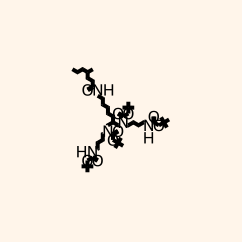 CCCC(C)CCC(=O)NCCCCCCC(CN(CCCCNC(=O)OC(C)(C)C)C(=O)OC(C)(C)C)CN(CCCCNC(=O)OC(C)(C)C)C(=O)OC(C)(C)C